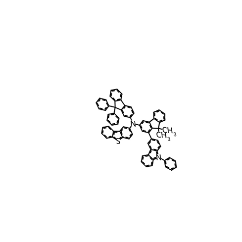 CC1(C)c2ccccc2-c2cc(N(c3ccc4c(c3)C(c3ccccc3)(c3ccccc3)c3ccccc3-4)c3ccc4sc5ccccc5c4c3)cc(-c3ccc4c(c3)c3ccccc3n4-c3ccccc3)c21